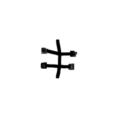 CC(Cl)(Cl)C(C)(Br)Br